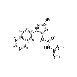 C=C(C)NC(=O)Oc1cc(C(C)C)nn1-c1ccc2ncccc2c1